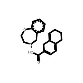 O=C(O)C1=CC=C2CCCC=C2C1.c1ccc2c(c1)CNCCO2